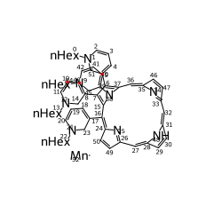 CCCCCCN1C=CC=C(c2c(C3=CC=CN(CCCCCC)C3)c3c(C4=CC=CN(CCCCCC)C4)c4nc(cc5ccc(cc6nc(cc2n3C2=CC=CN(CCCCCC)C2)C=C6)[nH]5)C=C4)C1.[Mn]